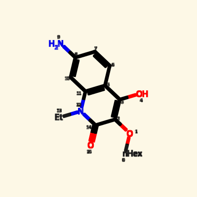 CCCCCCOc1c(O)c2ccc(N)cc2n(CC)c1=O